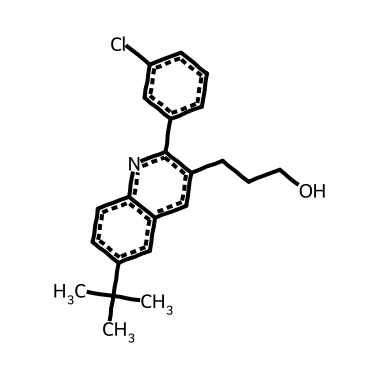 CC(C)(C)c1ccc2nc(-c3cccc(Cl)c3)c(CCCO)cc2c1